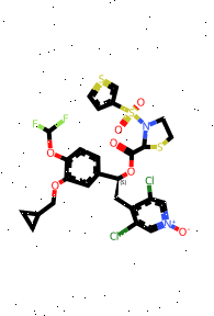 O=C(O[C@@H](Cc1c(Cl)c[n+]([O-])cc1Cl)c1ccc(OC(F)F)c(OCC2CC2)c1)C1SCCN1S(=O)(=O)c1ccsc1